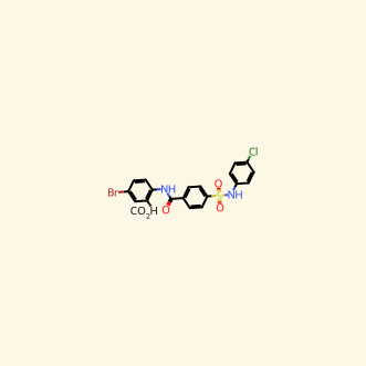 O=C(Nc1ccc(Br)cc1C(=O)O)c1ccc(S(=O)(=O)Nc2ccc(Cl)cc2)cc1